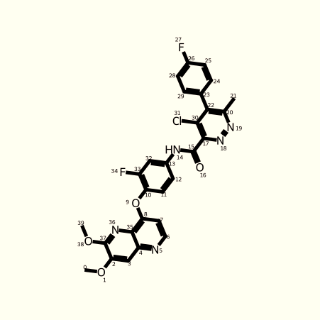 COc1cc2nccc(Oc3ccc(NC(=O)c4nnc(C)c(-c5ccc(F)cc5)c4Cl)cc3F)c2nc1OC